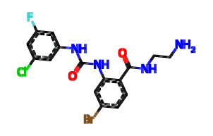 NCCNC(=O)c1ccc(Br)cc1NC(=O)Nc1cc(F)cc(Cl)c1